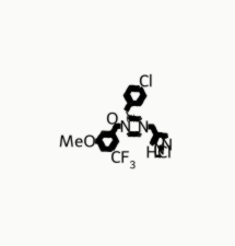 COc1cc(C(=O)N2CCN(Cc3cnn(C)c3)C[C@H]2Cc2ccc(Cl)cc2)cc(C(F)(F)F)c1.Cl